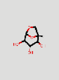 OC1C2OC[C@@H](O2)C(O)[C@@H]1O